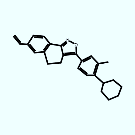 C=Cc1ccc2c(c1)CCc1c-2noc1-c1ccc(C2CCCCC2)c(C)c1